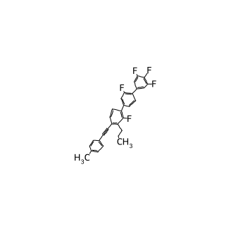 CCCc1c(C#Cc2ccc(C)cc2)ccc(-c2ccc(-c3cc(F)c(F)c(F)c3)c(F)c2)c1F